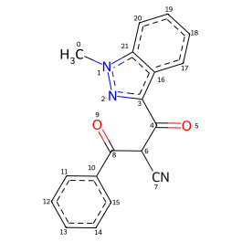 Cn1nc(C(=O)C(C#N)C(=O)c2ccccc2)c2ccccc21